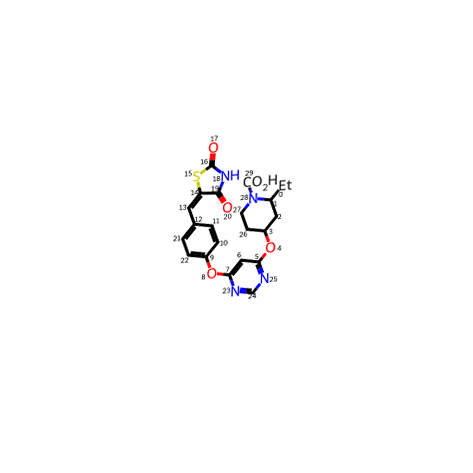 CCC1CC(Oc2cc(Oc3ccc(C=C4SC(=O)NC4=O)cc3)ncn2)CCN1C(=O)O